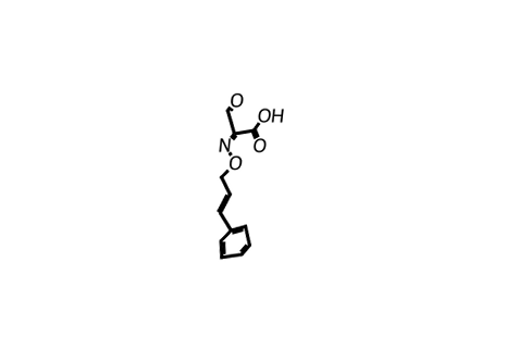 O=CC(=NOCC=Cc1ccccc1)C(=O)O